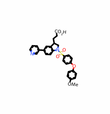 COc1ccc(Oc2ccc(S(=O)(=O)N3CC(CCC(=O)O)c4cc(-c5cccnc5)ccc43)cc2)cc1